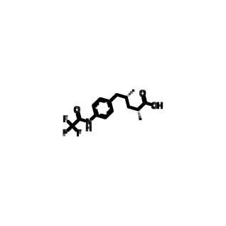 C[C@@H](Cc1ccc(NC(=O)C(F)(F)F)cc1)C[C@@H](C)C(=O)O